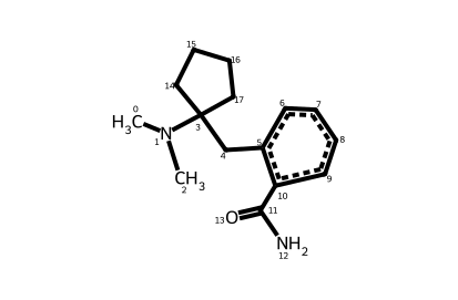 CN(C)C1(Cc2ccccc2C(N)=O)CCCC1